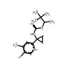 CC(OC(=O)NC1(c2cc(C(F)(F)F)c(F)cn2)CC1)C(C)(C)N